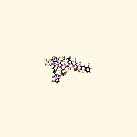 CC[C@H](C)[C@@H]([C@@H](CC(=O)N1CC2(CC2)C[C@H]1C(OC)[C@@H](C)C(=O)NC(Cc1ccccc1F)C(=O)O)OC)N(C)C(=O)[C@@H](NC(=O)C(C(C)C)N(C)C(=O)CCCCCN1C(=O)C=CC1=O)C(C)C